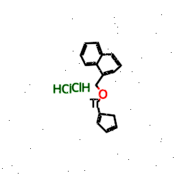 C1=CC[C]([Ti][O]Cc2cccc3ccccc23)=C1.Cl.Cl